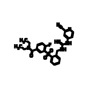 CCN(CC)C(=O)c1ccc(F)c(S(=O)(=O)c2ccccc2CNC(=N)Nc2ccnc(C#N)c2)c1